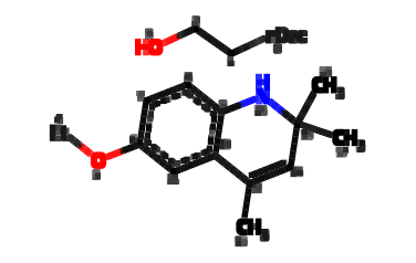 CCCCCCCCCCCCO.CCOc1ccc2c(c1)C(C)=CC(C)(C)N2